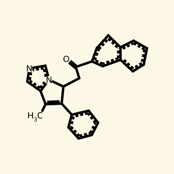 CC1=C(c2ccccc2)C(CC(=O)c2ccc3ccccc3c2)n2cncc21